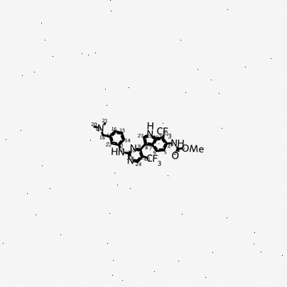 COC(=O)Nc1ccc2c(-c3nc(Nc4cccc(CN(C)C)c4)ncc3C(F)(F)F)c[nH]c2c1C(F)(F)F